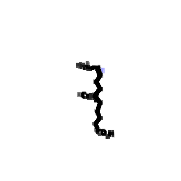 CCCCCC/C=C\CCCCCCCC(=O)O.[CaH2]